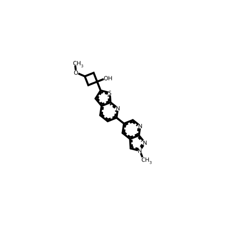 COC1CC(O)(c2cc3ccc(-c4cnc5nn(C)cc5c4)nc3s2)C1